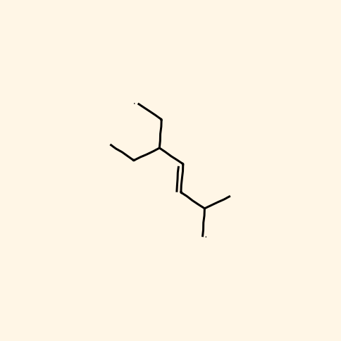 [CH2]CC(/C=C/C([CH2])C)CC